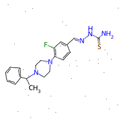 CC(c1ccccc1)N1CCN(c2ccc(/C=N/NC(N)=S)cc2F)CC1